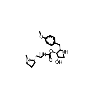 COc1ccc(C[C@H]2NC[C@H](O)[C@H]2OC(=O)NCC[C@@H]2CCCN2C)cc1